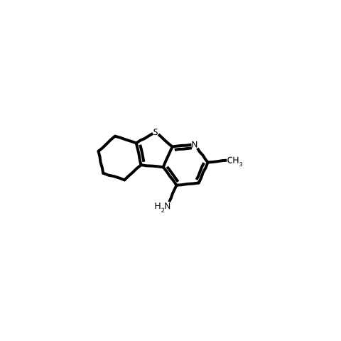 Cc1cc(N)c2c3c(sc2n1)CCCC3